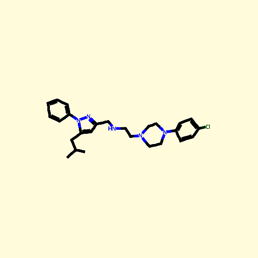 CC(C)Cc1cc(CNCCN2CCN(c3ccc(Cl)cc3)CC2)nn1-c1ccccc1